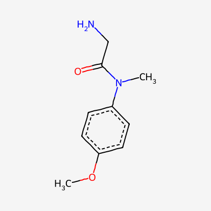 COc1ccc(N(C)C(=O)CN)cc1